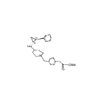 COC(=O)Cc1ccc(CN2CCC(N[C@@H]3C[C@H]3c3ccccc3)CC2)cc1